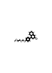 COCCOCOc1ccc(C2CC(=O)C=C3CCCCC32)cc1